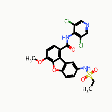 CCS(=O)(=O)Nc1ccc2oc3c(OC)ccc(C(=O)Nc4c(Cl)cncc4Cl)c3c2c1